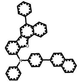 c1ccc(-c2cc3c4cccc(N(c5ccccc5)c5ccc(-c6ccc7ccccc7c6)cc5)c4oc3c3ccccc23)cc1